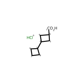 Cl.O=C(O)C1CC(C2CCC2)C1